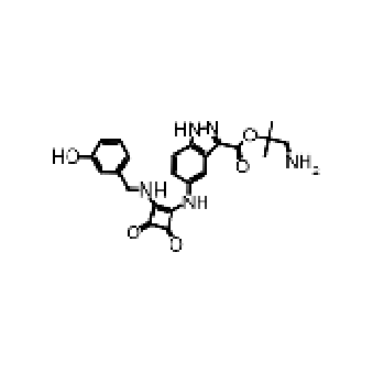 CC(C)(CN)OC(=O)c1n[nH]c2ccc(Nc3c(NCc4cccc(O)c4)c(=O)c3=O)cc12